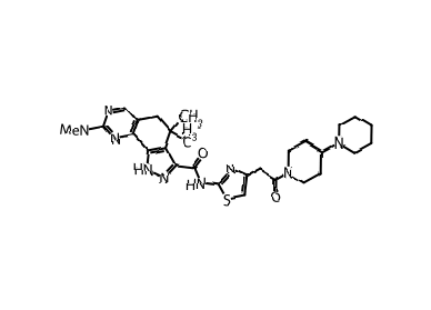 CNc1ncc2c(n1)-c1[nH]nc(C(=O)Nc3nc(CC(=O)N4CCC(N5CCCCC5)CC4)cs3)c1C(C)(C)C2